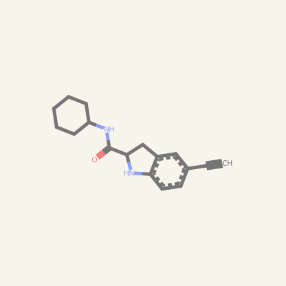 C#Cc1ccc2c(c1)CC(C(=O)NC1CCCCC1)N2